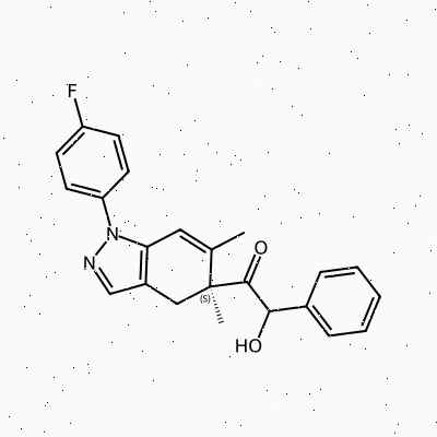 CC1=Cc2c(cnn2-c2ccc(F)cc2)C[C@]1(C)C(=O)C(O)c1ccccc1